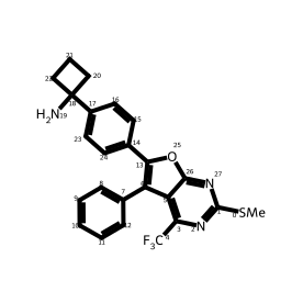 CSc1nc(C(F)(F)F)c2c(-c3ccccc3)c(-c3ccc(C4(N)CCC4)cc3)oc2n1